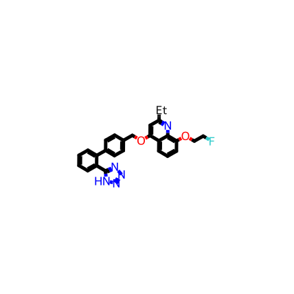 CCc1cc(OCc2ccc(-c3ccccc3-c3nnn[nH]3)cc2)c2cccc(OCCF)c2n1